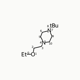 CCOCCN1CCN(C(C)(C)C)CC1